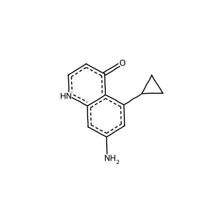 Nc1cc(C2CC2)c2c(=O)cc[nH]c2c1